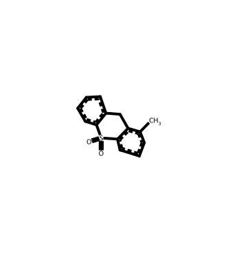 Cc1cccc2c1Cc1ccccc1S2(=O)=O